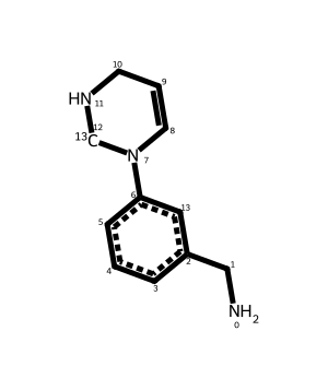 NCc1cccc(N2C=CCN[13CH2]2)c1